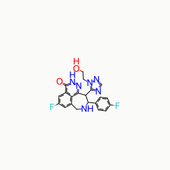 O=c1[nH]nc2c3c(cc(F)cc13)CNC(c1ccc(F)cc1)C2c1ncnn1CCO